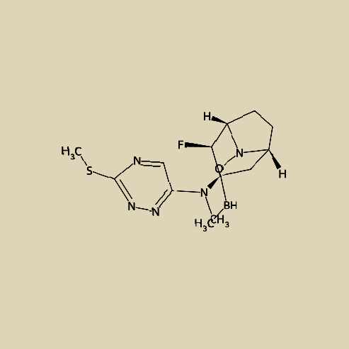 CBON1[C@@H]2CC[C@H]1[C@H](F)[C@H](N(C)c1cnc(SC)nn1)C2